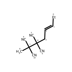 CC/C=C/CC(C#N)(C#N)C(C)(C#N)C#N